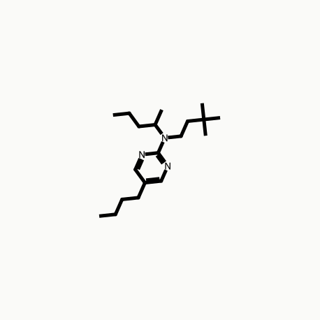 CCCCc1cnc(N(CCC(C)(C)C)C(C)CCC)nc1